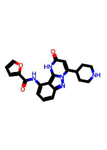 O=C(Nc1cccc2nn3c(C4CCNCC4)cc(=O)[nH]c3c12)c1ccco1